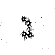 COc1ccccc1-c1cnncc1C(=O)Nc1nc2ccc(-c3ccn[nH]3)nc2s1